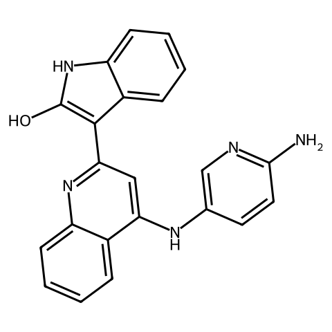 Nc1ccc(Nc2cc(-c3c(O)[nH]c4ccccc34)nc3ccccc23)cn1